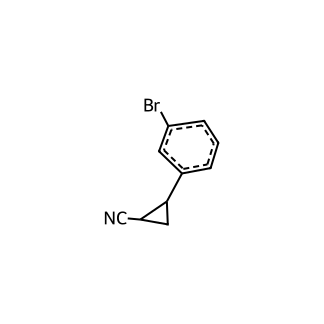 N#CC1CC1c1cccc(Br)c1